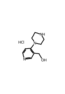 Cl.OCc1cnccc1N1CCNCC1